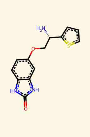 N[C@@H](COc1ccc2[nH]c(=O)[nH]c2c1)c1cccs1